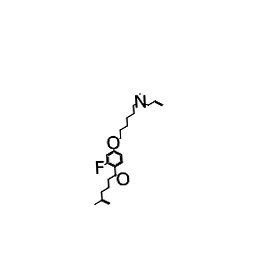 C=CCN(C)CCCCCCOc1ccc(C(=O)CCCC(=C)C)c(F)c1